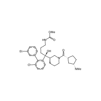 CCc1cccc(-c2c(Cl)cccc2[C@](O)(CCCNC(=O)OC)[C@@H]2CCCN(C(=O)[C@@H]3CC[C@H](NC)C3)C2)c1